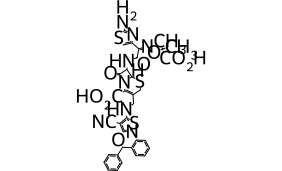 CC(C)(O/N=C(\C(=O)NC1C(=O)N2C(C(=O)O)=C(CNc3snc(OC(c4ccccc4)c4ccccc4)c3C#N)CS[C@H]12)c1csc(N)n1)C(=O)O